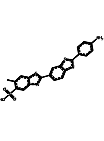 Cc1cc2sc(-c3ccc4nc(-c5ccc(N)cc5)sc4c3)nc2cc1S(=O)(=O)O